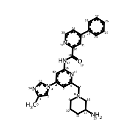 Cc1cn(-c2cc(CN3CCCC(N)C3)nc(NC(=O)c3cc(-c4ccccc4)ccn3)c2)cn1